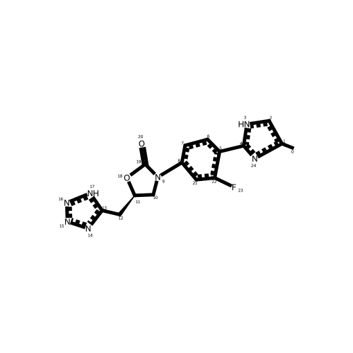 Cc1c[nH]c(-c2ccc(N3C[C@@H](Cc4nnn[nH]4)OC3=O)cc2F)n1